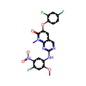 COc1cc(F)c([N+](=O)[O-])cc1Nc1ncc2cc(Oc3ccc(F)cc3F)c(=O)n(C)c2n1